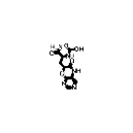 NC(=O)C(CC1Oc2ncncc2NC1=O)NC(=O)O